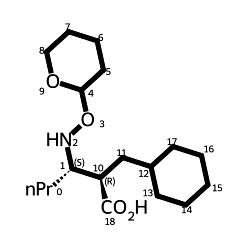 CCC[C@H](NOC1CCCCO1)[C@@H](CC1CCCCC1)C(=O)O